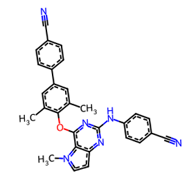 Cc1cc(-c2ccc(C#N)cc2)cc(C)c1Oc1nc(Nc2ccc(C#N)cc2)nc2ccn(C)c12